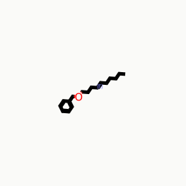 CCCCC/C=C/CCCOCc1ccccc1